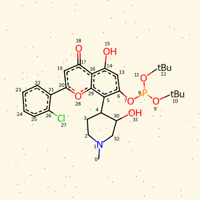 CN1CCC(c2c(OP(OC(C)(C)C)OC(C)(C)C)cc(O)c3c(=O)cc(-c4ccccc4Cl)oc23)C(O)C1